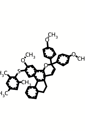 COc1ccc(C2(c3ccc(OC)cc3)C=Cc3c4c(c5cc(Sc6c(C)cc(C)cc6C)c(OC)cc5c3O2)-c2ccccc2CC4)cc1